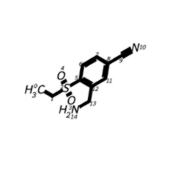 CCS(=O)(=O)c1ccc(C#N)cc1CN